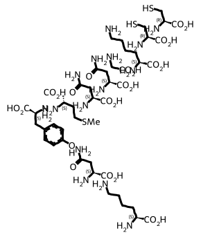 CSCC[C@H](N)C(=O)O.NC(=O)C[C@H](N)C(=O)O.NC(=O)C[C@H](N)C(=O)O.NC(=O)C[C@H](N)C(=O)O.NCC(=O)O.NCCCC[C@H](N)C(=O)O.NCCCC[C@H](N)C(=O)O.N[C@@H](CS)C(=O)O.N[C@@H](CS)C(=O)O.N[C@@H](Cc1ccc(O)cc1)C(=O)O